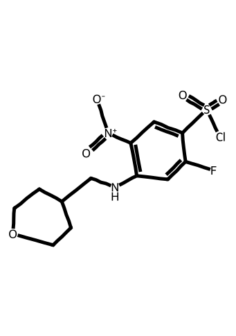 O=[N+]([O-])c1cc(S(=O)(=O)Cl)c(F)cc1NCC1CCOCC1